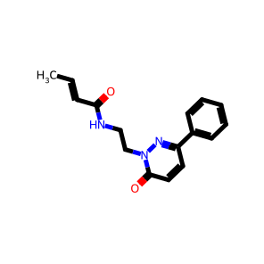 C/C=C/C(=O)NCCn1nc(-c2ccccc2)ccc1=O